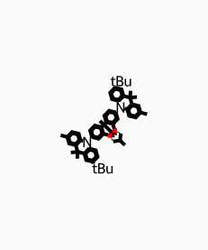 Cc1ccc2c(c1)C(C)(C)c1cc(C(C)(C)C)ccc1N2c1ccc2c(c1)[C@]13CC(C)C[C@]1(CC(C)C3)c1cc(N3c4ccc(C)cc4C(C)(C)c4cc(C(C)(C)C)ccc43)ccc1-2